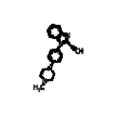 C#Cc1nc2ccccc2n1-c1ccc(N2CCN(C)CC2)cc1